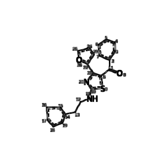 O=C(c1ccccc1)c1sc(NCCc2ccccc2)nc1-c1ccco1